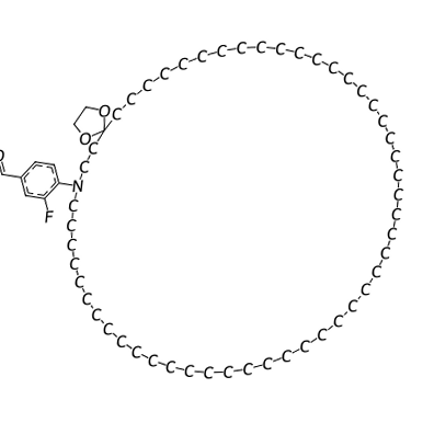 O=Cc1ccc(N2CCCCCCCCCCCCCCCCCCCCCCCCCCCCCCCCCCCCCCCCCCCCCCCCC3(CC2)OCCO3)c(F)c1